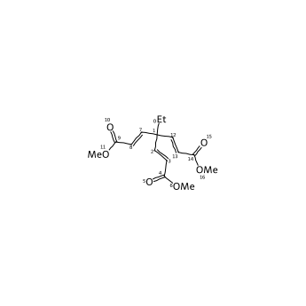 CCC(C=CC(=O)OC)(C=CC(=O)OC)C=CC(=O)OC